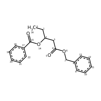 CCC(CC(=O)OCc1ccccc1)OC(=O)c1ccccc1